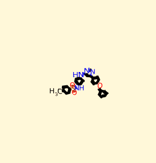 Cc1ccc(S(=O)(=O)Nc2ccc(Nc3cc(-c4ccc(OCc5ccccc5)cc4)ncn3)cc2)cc1